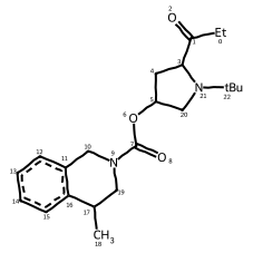 CCC(=O)C1CC(OC(=O)N2Cc3ccccc3C(C)C2)CN1C(C)(C)C